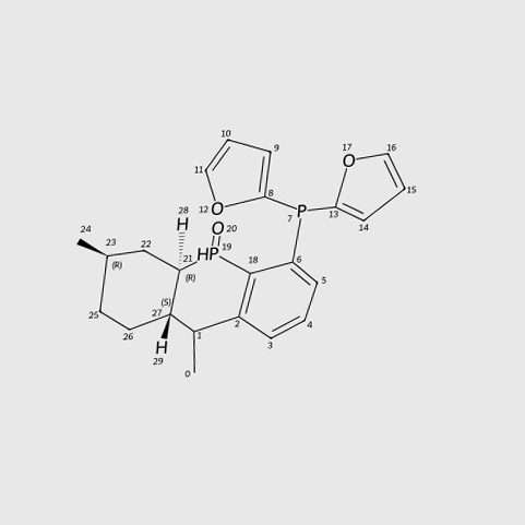 CC1c2cccc(P(c3ccco3)c3ccco3)c2[PH](=O)[C@@H]2C[C@H](C)CC[C@@H]12